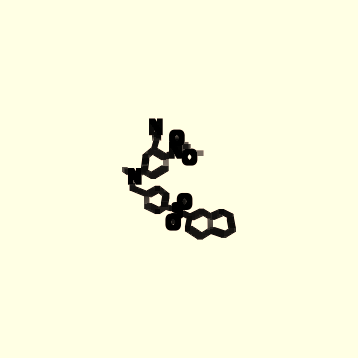 CN(Cc1ccc(S(=O)(=O)c2ccc3ccccc3c2)cc1)c1ccc([N+](=O)[O-])c(C#N)c1